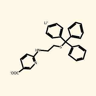 O=C([O-])c1ccc(NCCSC(c2ccccc2)(c2ccccc2)c2ccccc2)nc1.[Li+]